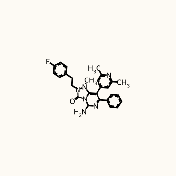 Cc1cc(C2=C3N(C(=O)N(CCc4ccc(F)cc4)N3C)C(N)N=C2c2ccccc2)cc(C)n1